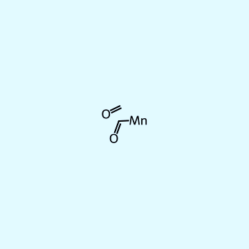 C=O.O=[CH][Mn]